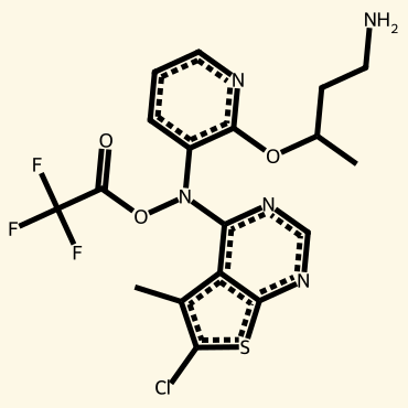 Cc1c(Cl)sc2ncnc(N(OC(=O)C(F)(F)F)c3cccnc3OC(C)CCN)c12